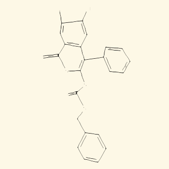 Cc1cc2c(-c3ccccc3)c(NC(=O)NCc3ccccc3)[nH]c(=O)c2cc1C